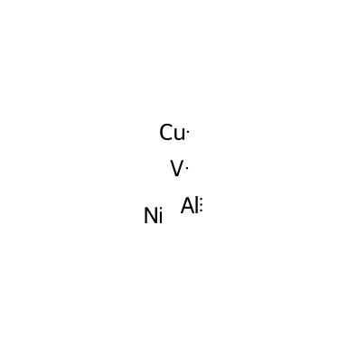 [Al].[Cu].[Ni].[V]